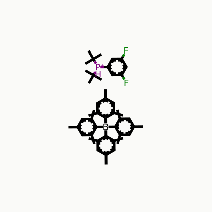 CC(C)(C)[PH+](c1cc(F)cc(F)c1)C(C)(C)C.Cc1cc(C)c([B-](c2c(C)cc(C)cc2C)(c2c(C)cc(C)cc2C)c2c(C)cc(C)cc2C)c(C)c1